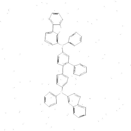 c1ccc(-c2cc(N(c3ccccc3)c3cccc4c3oc3ccccc34)ccc2-c2ccc(N(c3ccccc3)c3ccc4ccccc4c3)cc2)cc1